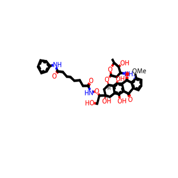 COc1cccc2c1C(=O)c1c(O)c3c(c(O)c1C2=O)C[C@](O)(C(CO)ONC(=O)CCCCCCC(=O)Nc1ccccc1)C[C@H]3OC1CC(N)C(O)C(C)O1